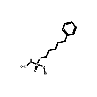 CCOP(=S)(NC=O)SCCCCCc1ccccc1